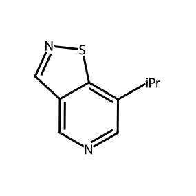 CC(C)c1cncc2cnsc12